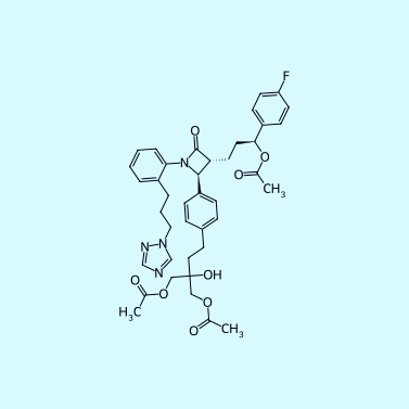 CC(=O)OCC(O)(CCc1ccc([C@@H]2[C@@H](CC[C@H](OC(C)=O)c3ccc(F)cc3)C(=O)N2c2ccccc2CCCn2cncn2)cc1)COC(C)=O